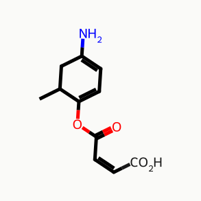 CC1CC(N)=CC=C1OC(=O)/C=C\C(=O)O